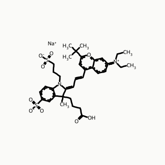 CC[N+](CC)=c1ccc2c(C=CC=C3N(CCCS(=O)(=O)[O-])c4ccc(S(=O)(=O)[O-])cc4C3(C)CCCC(=O)O)cc(C(C)(C)C)oc-2c1.[Na+]